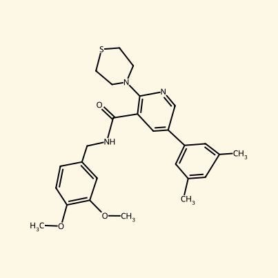 COc1ccc(CNC(=O)c2cc(-c3cc(C)cc(C)c3)cnc2N2CCSCC2)cc1OC